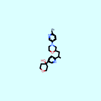 CC(C)c1ccc(N2CCOC(CC(C)c3ccc(C4(O)CCOCC4)cn3)C2)cn1